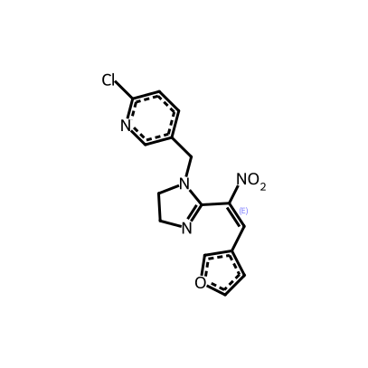 O=[N+]([O-])/C(=C/c1ccoc1)C1=NCCN1Cc1ccc(Cl)nc1